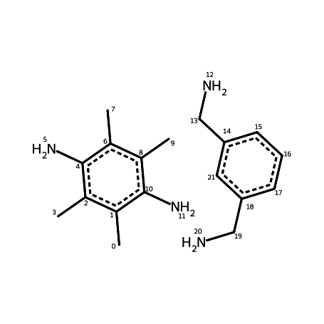 Cc1c(C)c(N)c(C)c(C)c1N.NCc1cccc(CN)c1